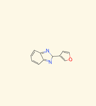 c1ccc2c(c1)=NC(c1ccoc1)N=2